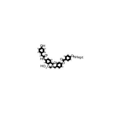 CCCCCCCOc1ccc(C(=O)Oc2ccc(CN(CC(=O)O)C(O)c3ccc(NC(=O)Cc4ccc(O)cc4)cc3)cc2)cc1